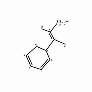 CC(C(=O)O)=C(C)C1C=CC=CC1